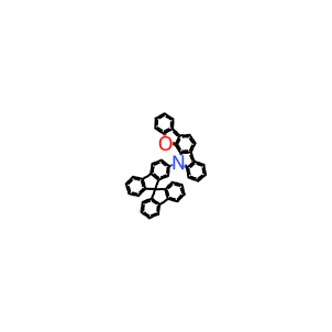 c1ccc2c(c1)-c1ccccc1C21c2ccccc2-c2ccc(-n3c4ccccc4c4ccc5c6ccccc6oc5c43)cc21